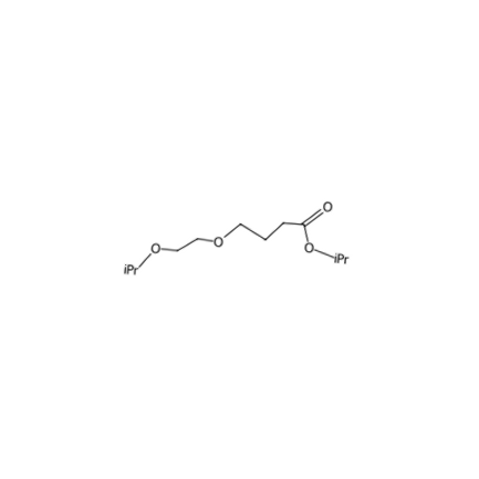 CC(C)OCCOCCCC(=O)OC(C)C